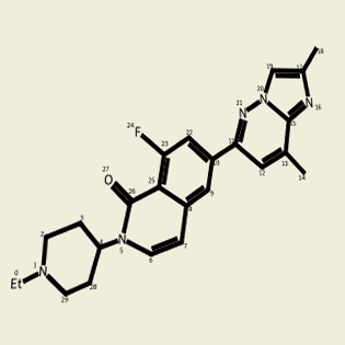 CCN1CCC(n2ccc3cc(-c4cc(C)c5nc(C)cn5n4)cc(F)c3c2=O)CC1